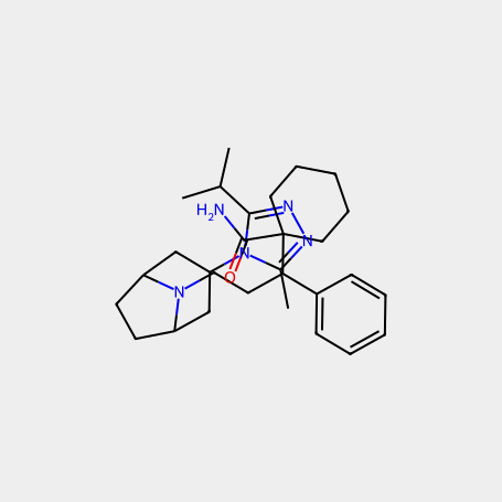 Cc1nnc(C(C)C)n1C1CC2CCC(C1)N2CCC(c1ccccc1)C1(C(N)=O)CCCCC1